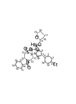 CCc1ccc(-c2ccc(C3(CC(=O)NOC4CCCCO4)CCN(C(=O)c4ccccc4)CCS3(=O)=O)s2)cc1